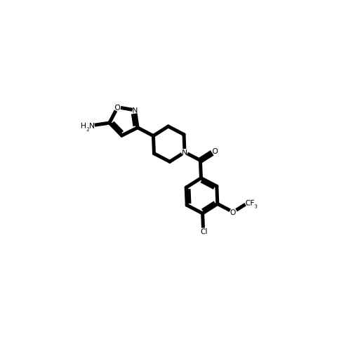 Nc1cc(C2CCN(C(=O)c3ccc(Cl)c(OC(F)(F)F)c3)CC2)no1